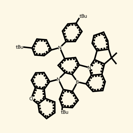 CC(C)(C)c1ccc(N(c2ccc(C(C)(C)C)cc2)c2cc3c4c(c2)-n2c5c(c6cccc(c62)B4c2ccc(C(C)(C)C)cc2N3c2cccc3oc4ccccc4c23)C(C)(C)c2ccccc2-5)cc1